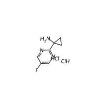 Cl.Cl.NC1(c2ncc(I)cn2)CC1